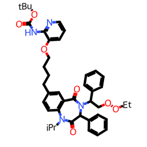 CCOOCC(c1ccccc1)N1C(=O)c2cc(CCCCOc3cccnc3NC(=O)OC(C)(C)C)ccc2N(C(C)C)C(=O)C1c1ccccc1